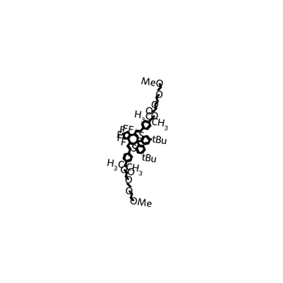 COCCOCCOCC(=O)OC(C)(C)c1ccc(-c2cc3c(s2)C(c2ccc(C(C)(C)C)cc2)(c2ccc(C(C)(C)C)cc2)c2sc(-c4ccc(C(C)(C)OC(=O)COCCOCCOC)cc4)cc2C2=C3C(F)(F)C(F)(F)C2(F)F)cc1